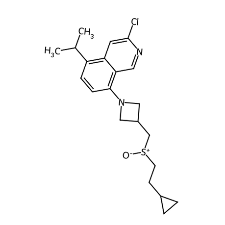 CC(C)c1ccc(N2CC(C[S+]([O-])CCC3CC3)C2)c2cnc(Cl)cc12